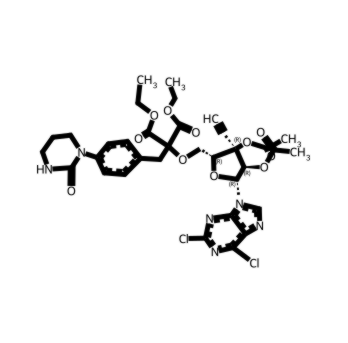 C#C[C@@]1(OC(C)=O)[C@@H](COC(Cc2ccc(N3CCCNC3=O)cc2)(C(=O)OCC)C(=O)OCC)O[C@@H](n2cnc3c(Cl)nc(Cl)nc32)[C@@H]1OC(C)=O